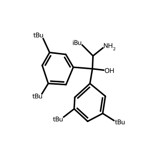 CCC(C)C(N)C(O)(c1cc(C(C)(C)C)cc(C(C)(C)C)c1)c1cc(C(C)(C)C)cc(C(C)(C)C)c1